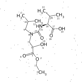 CCOC(=O)C(O)CN(CC(C)C)C(=O)N[C@H](C(=O)O)C(C)C